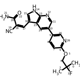 CC(C)(F)COc1ccc(-c2cnc3[nH]cc(C=C(C#N)C(N)=O)c3c2)cn1